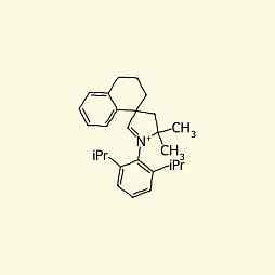 CC(C)c1cccc(C(C)C)c1[N+]1=CC2(CCCc3ccccc32)CC1(C)C